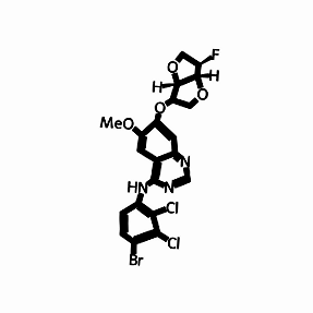 COc1cc2c(Nc3ccc(Br)c(Cl)c3Cl)ncnc2cc1OC1CO[C@H]2[C@H](F)CO[C@@H]12